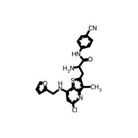 Cc1c(CC(N)C(=O)Nc2ccc(C#N)cc2)sc2c(NCc3ccco3)cc(Cl)nc12